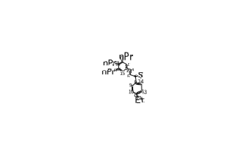 CCCc1cc(C=CC(=S)c2ccc(CC)cc2)cc(CCC)c1CCC